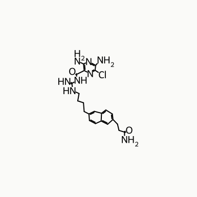 N=C(NCCCCc1ccc2cc(CCC(N)=O)ccc2c1)NC(=O)c1nc(Cl)c(N)nc1N